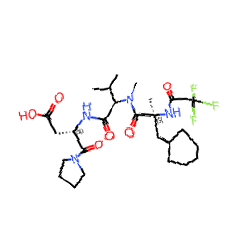 CC(C)C(C(=O)N[C@@H](CC(=O)O)C(=O)N1CCCC1)N(C)C(=O)[C@](C)(CC1CCCCC1)NC(=O)C(F)(F)F